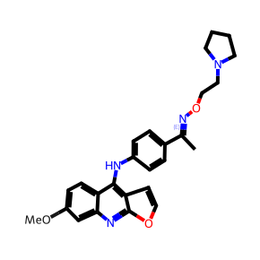 COc1ccc2c(Nc3ccc(/C(C)=N/OCCN4CCCC4)cc3)c3ccoc3nc2c1